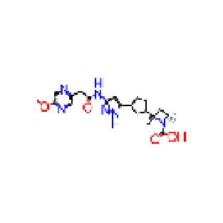 COc1cnc(CC(=O)Nc2cc(C3CCC([C@]4(C)C[C@H](C)N4C(=O)O)C3)[nH]n2)cn1